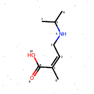 CC(=CCNC(C)C)C(=O)O